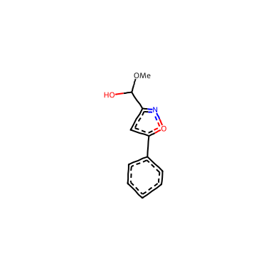 COC(O)c1cc(-c2ccccc2)on1